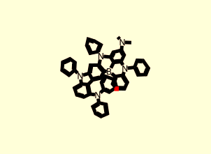 CN(C)c1cc2c3c(c1)N(c1ccccc1)c1cc4c(cc1B3c1ccccc1N2c1ccccc1)c1c(N(c2ccccc2)c2ccccc2)cccc1n4-c1ccccc1